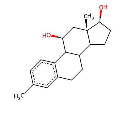 Cc1ccc2c(c1)CCC1C2[C@@H](O)C[C@@]2(C)C1CC[C@@H]2O